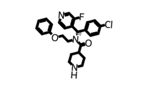 O=C(C1CCNCC1)N(CCOc1ccccc1)[C@@H](c1ccc(Cl)cc1)c1ccncc1F